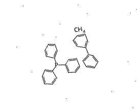 C.c1ccc(-c2ccccc2)cc1.c1ccc(P(c2ccccc2)c2ccccc2)cc1